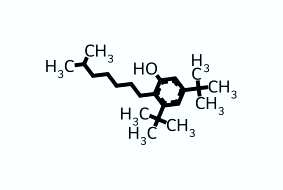 CC(C)CCCCCc1c(O)cc(C(C)(C)C)cc1C(C)(C)C